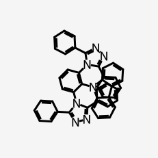 c1ccc(-c2nnc(-c3ccccc3)n2-c2cccc(-n3c(-c4ccccc4)nnc3-c3ccccc3)c2-n2c3ccccc3c3ccccc32)cc1